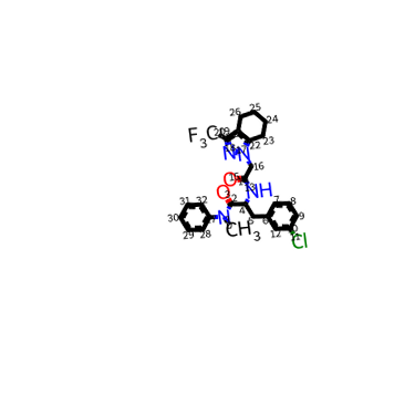 CN(C(=O)C(Cc1cccc(Cl)c1)NC(=O)Cn1nc(C(F)(F)F)c2c1CCCC2)c1ccccc1